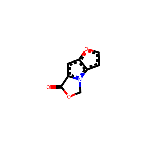 O=C1OCn2c1cc1occc12